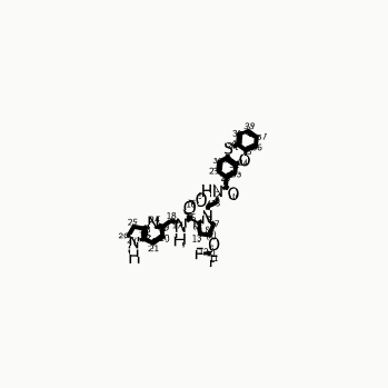 O=C(NCC(=O)N1C[C@H](OC(F)F)C[C@H]1C(=O)NCc1ccc2c(n1)CCN2)c1ccc2c(c1)Oc1ccccc1S2